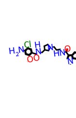 COc1cc(N)c(Cl)cc1C(=O)NCC1CCN(CCCNC(=O)c2cn(C)c3ccccc23)C1